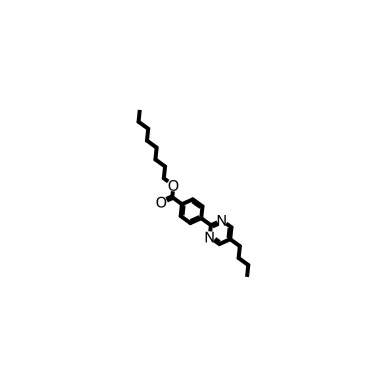 CCCCCCCCOC(=O)c1ccc(-c2ncc(CCCC)cn2)cc1